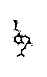 CC(C)CCN1C(=O)CCc2c(OCC3CO3)cccc21